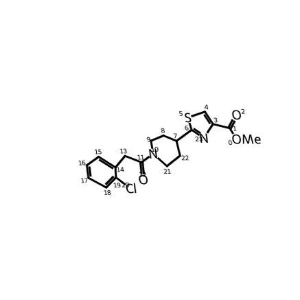 COC(=O)c1csc(C2CCN(C(=O)Cc3ccccc3Cl)CC2)n1